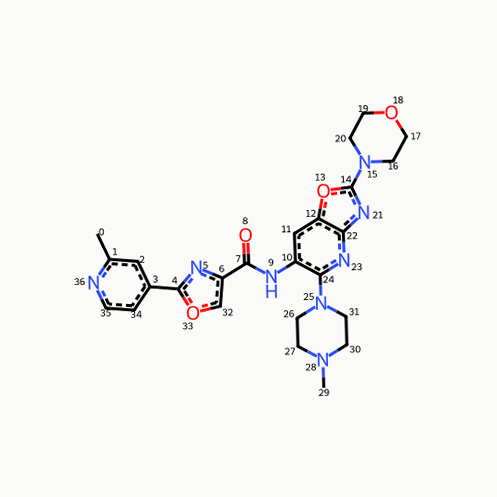 Cc1cc(-c2nc(C(=O)Nc3cc4oc(N5CCOCC5)nc4nc3N3CCN(C)CC3)co2)ccn1